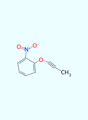 CC#COc1ccccc1[N+](=O)[O-]